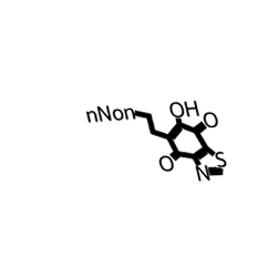 CCCCCCCCCCCC1=C(O)C(=O)c2scnc2C1=O